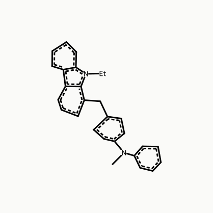 CCn1c2ccccc2c2cccc(Cc3ccc(N(C)c4ccccc4)cc3)c21